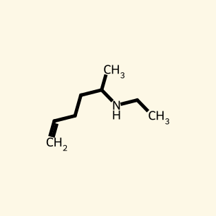 C=CCCC(C)NCC